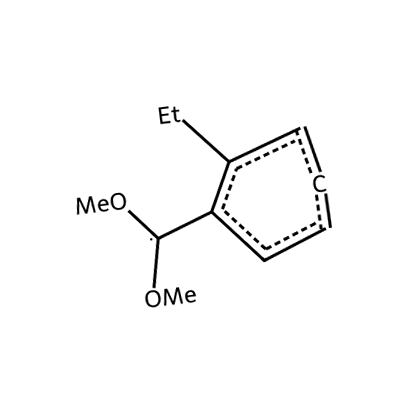 CCc1ccccc1[C](OC)OC